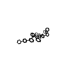 Oc1cccc(-c2cccc(-c3ccc(C4C=CC=CC4)cc3)c2)c1-c1ccccc1Nc1ccc(-c2cccc3c2oc2ccccc23)cc1